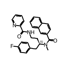 CN(C(=O)c1ccc2ccccc2c1)[C@H](CCNC(=O)c1ccccn1)Cc1ccc(F)cc1